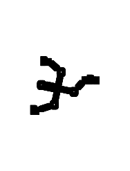 CCCCOP(=O)(OBr)OBr